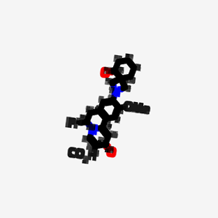 COc1cc2c(cc1N1CC3(CCCCC3=O)C1)CC(C(C)C)n1cc(C(=O)O)c(=O)cc1-2